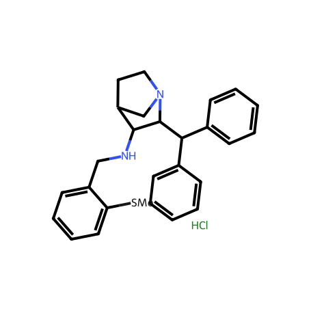 CSc1ccccc1CNC1C2CCN(C2)C1C(c1ccccc1)c1ccccc1.Cl